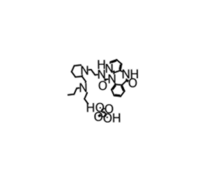 CCCN(CCC)CC1CCCCN1CCNC(=O)N1c2ccccc2C(=O)Nc2cccnc21.O=S(=O)(O)O